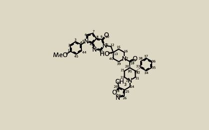 COc1ccc(-n2ccc3c(=O)n(CC4(O)CCN(C(=O)[C@@H]5CCN(Cc6cnoc6C)C[C@H]5c5ccccc5)CC4)cnc32)cc1